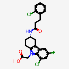 O=C(O)Cn1c2c(c3cc(F)cc(Cl)c31)C[C@@H](NC(=O)CCc1ccccc1Cl)CC2